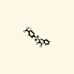 NC(=O)c1ccc(S(=O)(=O)[C@@H](Cc2ccccc2)C(=O)CCl)cc1